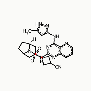 Cc1cc(Nc2nc(N[C@@H]3CC4CC[C@@H](C3)N4S(=O)(=O)N3CC(C#N)C3)nc3cccnc23)n[nH]1